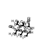 C=CC(=O)[NH][Ti+2][NH]C(=O)C=C.C=CC(=O)[NH][Ti+2][NH]C(=O)C=C.C=CC(=O)[NH][Ti+2][NH]C(=O)C=C.[Cl-].[Cl-].[Cl-].[Cl-].[Cl-].[Cl-]